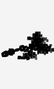 COC(=O)N[C@H](C(=O)N[C@@H](Cc1ccc(C#Cc2cnc(N3CC4CCC(C3)N4C3COC3)nc2)cc1)[C@H](CN(Cc1c(F)cc(-c2ccn(C(F)F)n2)cc1F)NC(=O)[C@@H](NC(=O)OC)C(C)(C)C(F)(F)F)OC(=O)CC(C)(C)c1c(CC(=O)N[C@@H](CCS(=O)(=O)O)C(=O)O)cc(C)cc1OP(=O)(O)O)C(C)(C)C(F)(F)F